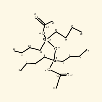 CCC[CH2][Sn]([CH2]CCC)([O]C(C)=O)[O][Sn]([CH2]CCC)([CH2]CCC)[O]C(C)=O